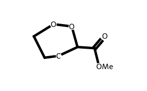 COC(=O)C1CCCOO1